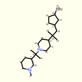 CN1CCCC(C(C)(C)N2CCC(C(C)(C)CC3CCC(C(C)(C)C)C3)CC2)C1